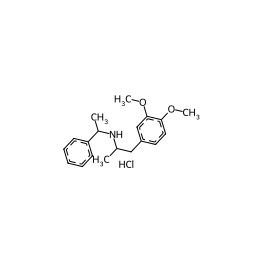 COc1ccc(CC(C)NC(C)c2ccccc2)cc1OC.Cl